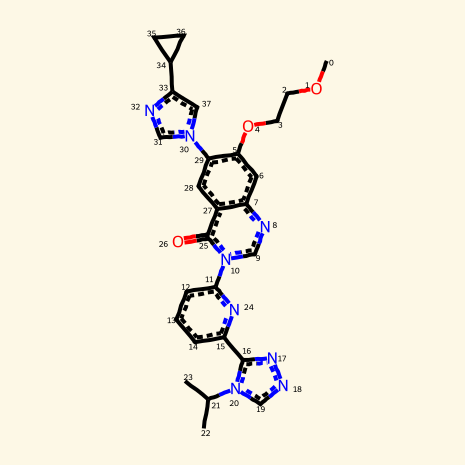 COCCOc1cc2ncn(-c3cccc(-c4nncn4C(C)C)n3)c(=O)c2cc1-n1cnc(C2CC2)c1